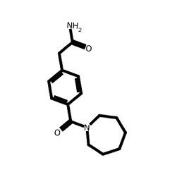 NC(=O)Cc1ccc(C(=O)N2CCCCCC2)cc1